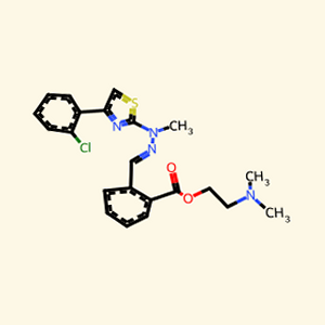 CN(C)CCOC(=O)c1ccccc1/C=N/N(C)c1nc(-c2ccccc2Cl)cs1